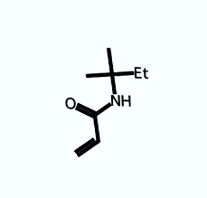 C=CC(=O)NC(C)(C)CC